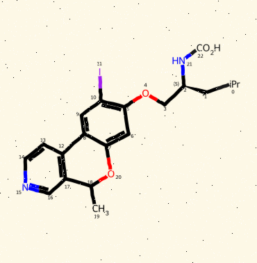 CC(C)C[C@@H](COc1cc2c(cc1I)-c1ccncc1C(C)O2)NC(=O)O